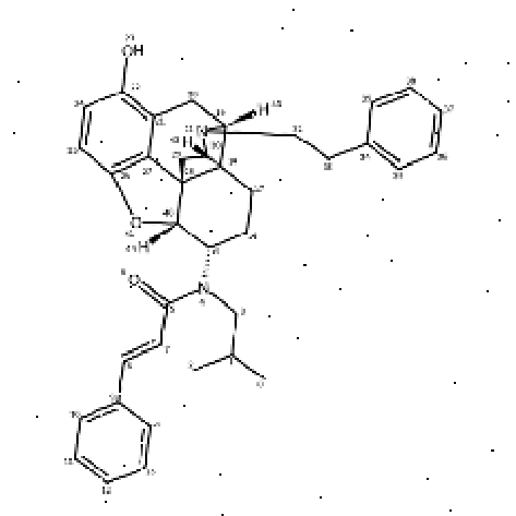 CC(C)CN(C(=O)C=Cc1ccccc1)[C@H]1CC[C@H]2[C@H]3Cc4c(O)ccc5c4[C@@]2(CCN3CCc2ccccc2)[C@H]1O5